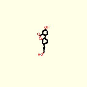 O=c1oc2cc(C#CCO)ccc2c2ccc(O)cc12